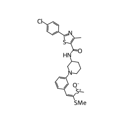 CS/C(=C/c1cccc(N2CCCC(NC(=O)c3sc(-c4ccc(Cl)cc4)nc3C)C2)c1)[S+](C)[O-]